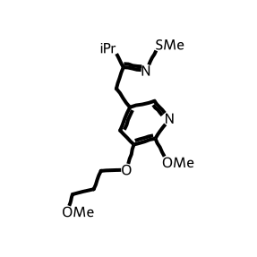 COCCCOc1cc(CC(=NSC)C(C)C)cnc1OC